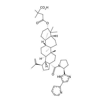 C=C(C)[C@@H]1CC[C@]2(C(=O)N3CCC[C@H]3c3ncc(-c4ccccn4)[nH]3)CC[C@]3(C)[C@H](CC[C@@H]4[C@@]5(C)CC[C@H](OC(=O)CC(C)(C)C(=O)O)C(C)(C)[C@@H]5CC[C@]43C)[C@@H]12